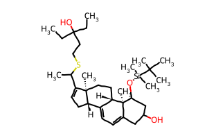 CCC(O)(CC)CCSC(C)C1=CC[C@H]2C3=CC=C4CC(O)CC(O[Si](C)(C)C(C)(C)C)[C@]4(C)[C@H]3CC[C@]12C